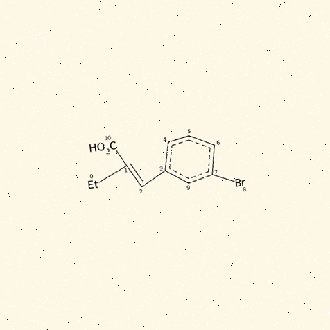 CCC(=Cc1cccc(Br)c1)C(=O)O